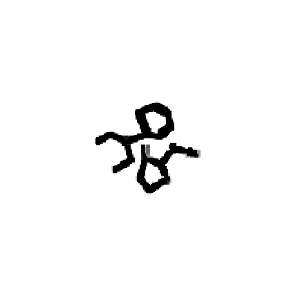 CCP(CC)c1ccccc1.[Au][S]C1NCCS1